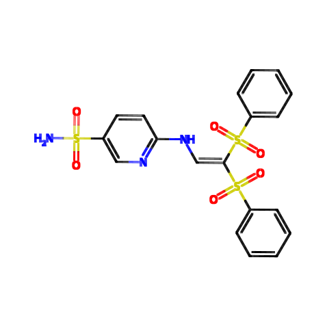 NS(=O)(=O)c1ccc(NC=C(S(=O)(=O)c2ccccc2)S(=O)(=O)c2ccccc2)nc1